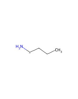 CCC[C]N